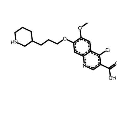 COc1cc2c(Cl)c(C(=O)O)cnc2cc1OCCCC1CCCNC1